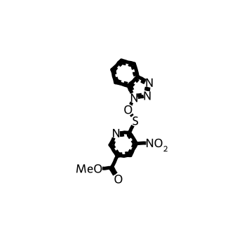 COC(=O)c1cnc(SOn2nnc3ccccc32)c([N+](=O)[O-])c1